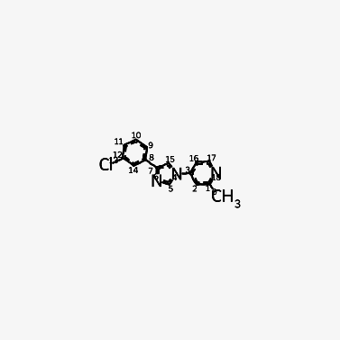 Cc1cc(-n2cnc(-c3cccc(Cl)c3)c2)ccn1